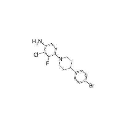 Nc1ccc(N2CCC(c3ccc(Br)cc3)CC2)c(F)c1Cl